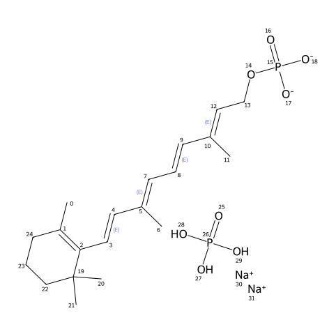 CC1=C(/C=C/C(C)=C/C=C/C(C)=C/COP(=O)([O-])[O-])C(C)(C)CCC1.O=P(O)(O)O.[Na+].[Na+]